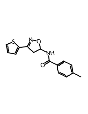 Cc1ccc(C(=O)NC2CC(c3cccs3)=NO2)cc1